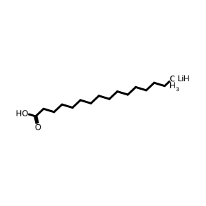 CCCCCCCCCCCCCCCC(=O)O.[LiH]